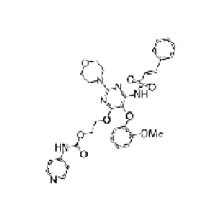 COc1ccccc1Oc1c(NS(=O)(=O)/C=C/c2ccccc2)nc(N2CCOCC2)nc1OCCOC(=O)Nc1ccncc1